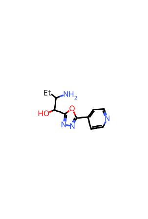 CCC(N)C(O)c1nnc(-c2ccncc2)o1